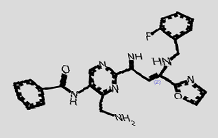 N=C(/C=C(\NCc1ccccc1F)c1ncco1)c1ncc(NC(=O)c2ccccc2)c(CN)n1